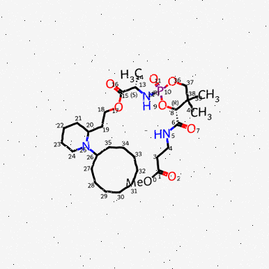 COC(=O)CCNC(=O)[C@@H]1O[P@@](=O)(N[C@@H](C)C(=O)OCCC2CCCCN2C2CCCCCCCCC2)OCC1(C)C